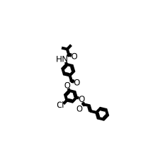 CC(C)C(=O)Nc1ccc(C(=O)Oc2cc(Cl)cc(OC(=O)C=Cc3ccccc3)c2)cc1